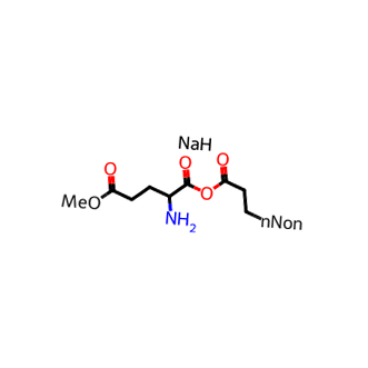 CCCCCCCCCCCC(=O)OC(=O)C(N)CCC(=O)OC.[NaH]